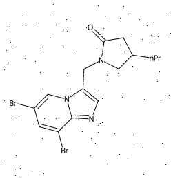 CCCC1CC(=O)N(Cc2cnc3c(Br)cc(Br)cn23)C1